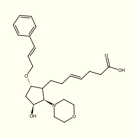 O=C(O)CC/C=C/CCC1[C@@H](OCC=Cc2ccccc2)C[C@H](O)[C@@H]1N1CCOCC1